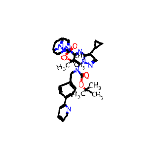 CC(C)(C)OC(=O)N(Cc1ccc(-c2ccccn2)cc1)c1cc(N2CC3CC(C2)N3C(=O)OC(C)(C)C)nc2c(C3CC3)cnn12